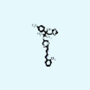 CC(C)(SC1COC(/C=C/C=C/c2ccccc2C(F)(F)F)OC1)C(O)(Cn1cncn1)c1ccc(C(F)(F)F)cc1